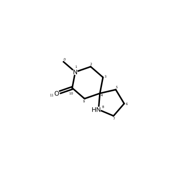 CN1CCC2(CCCN2)CC1=O